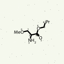 COCC(N)C(=O)OCC(C)C